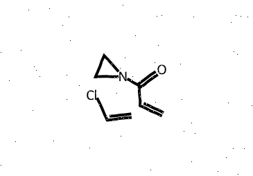 C=CC(=O)N1CC1.C=CCl